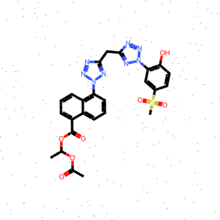 CC(=O)OC(C)OC(=O)c1cccc2c(-n3nnc(Cc4nnn(-c5cc(S(C)(=O)=O)ccc5O)n4)n3)cccc12